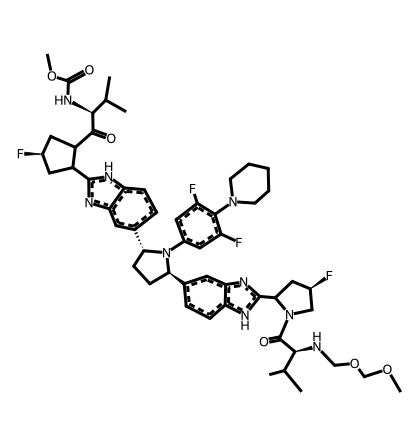 COCOCN[C@H](C(=O)N1C[C@H](F)CC1c1nc2cc([C@H]3CC[C@H](c4ccc5[nH]c(C6C[C@@H](F)CC6C(=O)[C@@H](NC(=O)OC)C(C)C)nc5c4)N3c3cc(F)c(N4CCCCC4)c(F)c3)ccc2[nH]1)C(C)C